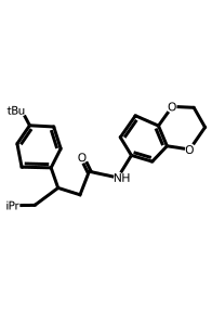 CC(C)CC(CC(=O)Nc1ccc2c(c1)OCCO2)c1ccc(C(C)(C)C)cc1